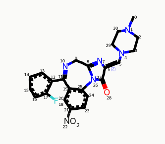 CN1CCN(/C=C2\N=C3CN=C(c4ccccc4F)c4cc([N+](=O)[O-])ccc4N3C2=O)CC1